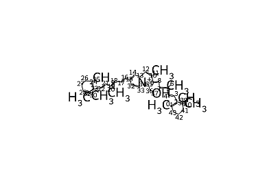 CC1=C(/C=C/C(C)=C/C=C/C(C)=C\c2cc(/C=C/C=C(C)/C=C/C3=C(C)CCCC3(C)C)cc[n+]2CCO)C(C)(C)CCC1